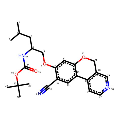 CC(C)CC(COc1cc2c(cc1C#N)-c1ccncc1CO2)NC(=O)OC(C)(C)C